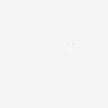 CC1=C(C)c2cc(C)sc2C1